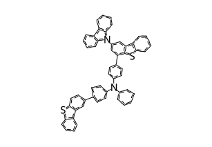 c1ccc(N(c2ccc(-c3ccc4sc5ccccc5c4c3)cc2)c2ccc(-c3cc(-n4c5ccccc5c5ccccc54)cc4c3sc3ccccc34)cc2)cc1